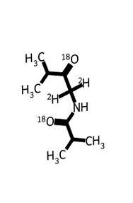 [2H]C([2H])(NC(=[18O])C(C)C)C(=[18O])C(C)C